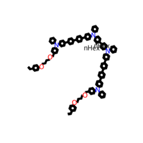 C=Cc1ccc(OCCCCOCc2ccc(N(c3ccccc3)c3ccc(-c4ccc(-c5ccc(-c6ccc(N(c7ccccc7)c7ccc(-c8ccc(N(c9ccccc9)c9ccc(-c%10ccc(-c%11ccc(-c%12ccc(N(c%13ccccc%13)c%13ccc(COCCCCOc%14ccc(C=C)cc%14)cc%13)cc%12)cc%11)cc%10)cc9)cc8CCCCCC)c(CCCCCC)c7)cc6)cc5)cc4)cc3)cc2)cc1